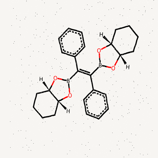 c1ccc(C(B2O[C@H]3CCCC[C@H]3O2)=C(B2O[C@H]3CCCC[C@H]3O2)c2ccccc2)cc1